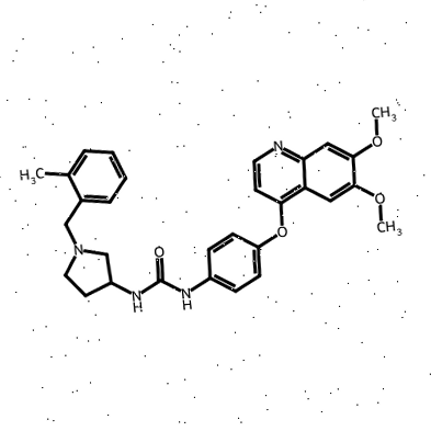 COc1cc2nccc(Oc3ccc(NC(=O)NC4CCN(Cc5ccccc5C)C4)cc3)c2cc1OC